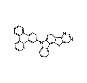 c1ccc2c(c1)c1ccccc1c1cc(-n3c4ccccc4c4c5sc6cncnc6c5ccc43)ccc21